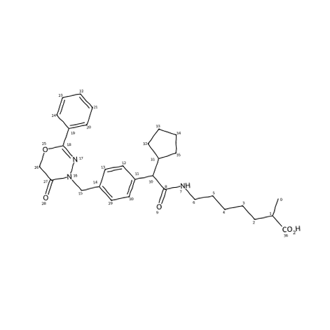 CC(CCCCCNC(=O)C(c1ccc(CN2N=C(c3ccccc3)OCC2=O)cc1)C1CCCC1)C(=O)O